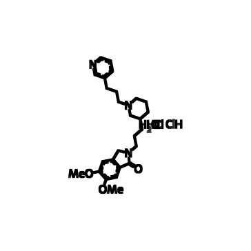 COc1cc2c(cc1OC)C(=O)N(CCCC1CCCN(CCCc3cccnc3)C1)C2.Cl.Cl.O